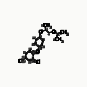 CC(C)OCC(C)Oc1ccc(Oc2ccc(Cl)cc2Cl)cc1